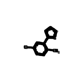 Cc1ccc(Cl)cc1-c1cc[c]s1